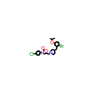 CC(C)Oc1ccc(Br)c(CC2CCN(CC3CN(c4ccc(Cl)cc4)C(=O)O3)CC2)c1